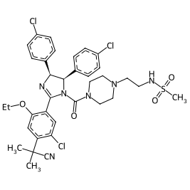 CCOc1cc(C(C)(C)C#N)c(Cl)cc1C1=N[C@@H](c2ccc(Cl)cc2)[C@@H](c2ccc(Cl)cc2)N1C(=O)N1CCN(CCNS(C)(=O)=O)CC1